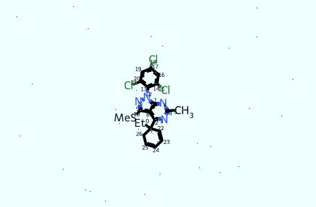 CCC1(c2nc(C)nc3c2c(SC)nn3-c2c(Cl)cc(Cl)cc2Cl)C=CC=CC1